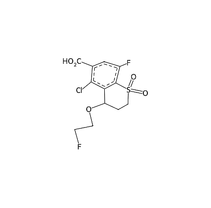 O=C(O)c1cc(F)c2c(c1Cl)C(OCCF)CCS2(=O)=O